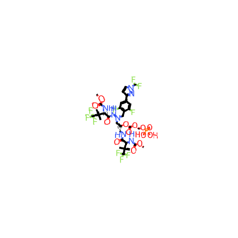 COC(=O)NC(C(=O)NC[C@H](CN(Cc1c(F)cc(-c2ccn(C(F)F)n2)cc1F)NC(=O)[C@@H](NC(=O)OC)C(C)(C)C(F)(F)F)OC(=O)OCOP(=O)(O)O)C(C)(C)C(F)(F)F